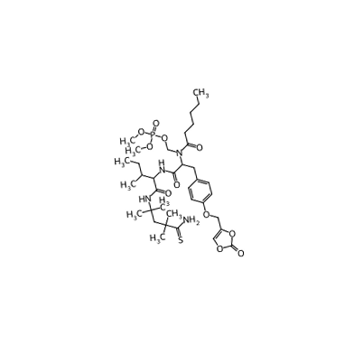 CCCCCC(=O)N(COP(=O)(OC)OC)C(Cc1ccc(OCc2coc(=O)o2)cc1)C(=O)NC(C(=O)NC(C)(C)CC(C)(C)C(N)=S)C(C)CC